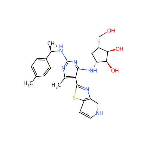 Cc1ccc([C@@H](C)Nc2nc(C)c(-c3nc4c(s3)C=CNC4)c(N[C@@H]3C[C@H](CO)[C@@H](O)[C@H]3O)n2)cc1